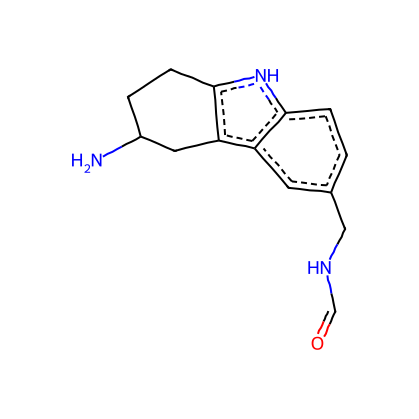 NC1CCc2[nH]c3ccc(CNC=O)cc3c2C1